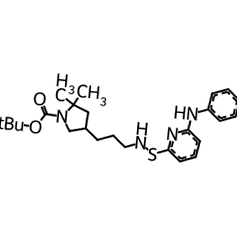 CC(C)(C)OC(=O)N1CC(CCCNSc2cccc(Nc3ccccc3)n2)CC1(C)C